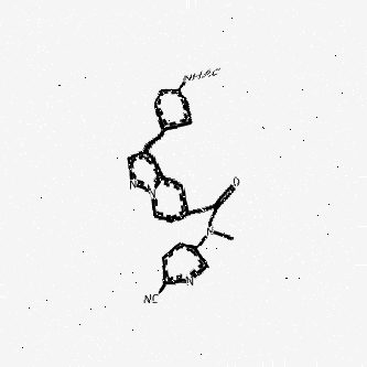 CC(=O)Nc1ccc(-c2cnn3ccc(C(=O)N(C)c4ccc(C#N)nc4)cc23)cc1